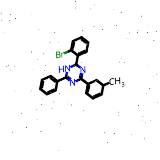 CC1C=CC=C(C2=NC(c3ccccc3Br)NC(c3ccccc3)=N2)C1